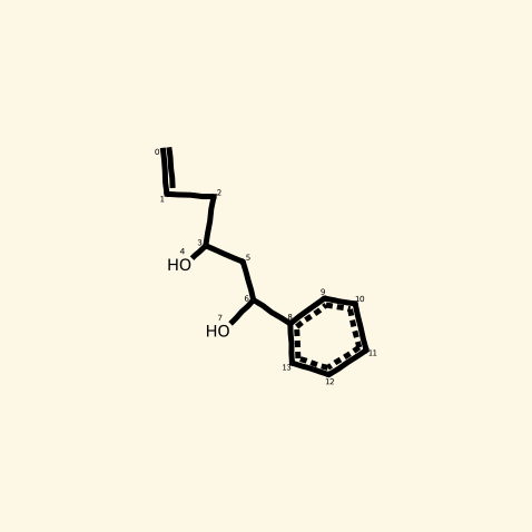 C=CCC(O)CC(O)c1ccccc1